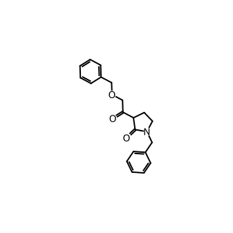 O=C(COCc1ccccc1)C1CCN(Cc2ccccc2)C1=O